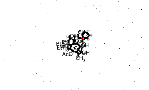 C=CC(=O)O[C@@]12CO[C@@H]1C[C@H](O[Si](CC)(CC)CC)[C@@]1(C)C(=O)[C@H](OC(C)=O)C3=C(C)[C@]4(O)C[C@@](O)([C@@H](OC(=O)c5ccccc5)C12)[C@@]34C